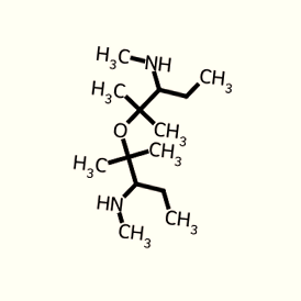 CCC(NC)C(C)(C)OC(C)(C)C(CC)NC